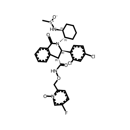 C[S+]([O-])N[C@H]1CCCC[C@@H]1N1C(=O)c2ccccc2[C@@H](C(=O)NOCc2ccc(F)c[n+]2[O-])[C@@H]1c1ccc(Cl)cc1Cl